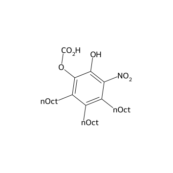 CCCCCCCCc1c(CCCCCCCC)c(OC(=O)O)c(O)c([N+](=O)[O-])c1CCCCCCCC